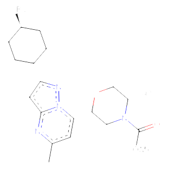 COC(=O)N1C[C@H](c2cc(C)nc3cc([C@H]4CC[C@H](C(C)(C)C)CC4)nn23)OC[C@@H]1C(C)C